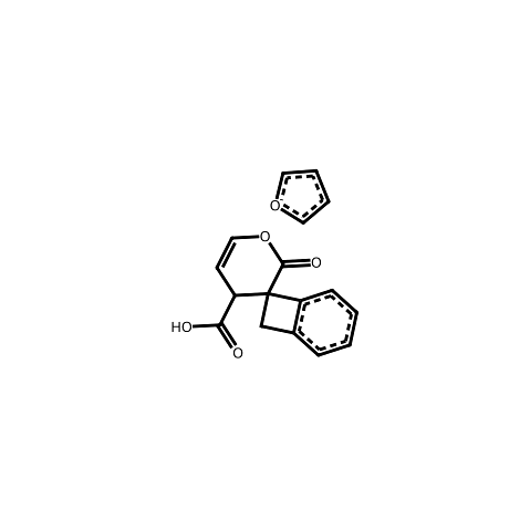 O=C(O)C1C=COC(=O)C12Cc1ccccc12.c1ccoc1